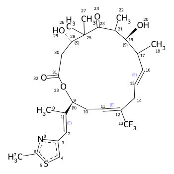 C/C(=C\c1csc(C)n1)[C@@H]1C/C=C(/C(F)(F)F)C/C=C/C(C)[C@H](O)C(C)C(=O)C(C)(C)[C@@H](O)CC(=O)O1